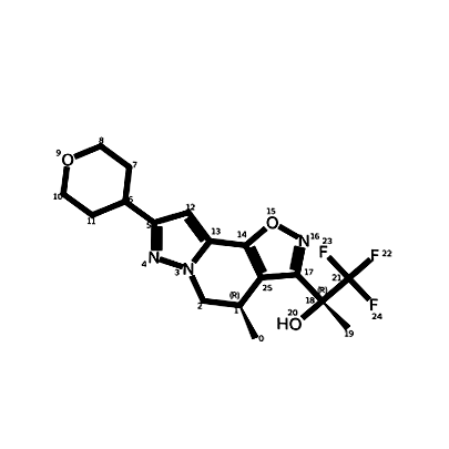 C[C@H]1Cn2nc(C3CCOCC3)cc2-c2onc([C@@](C)(O)C(F)(F)F)c21